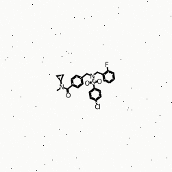 CN(C(=O)c1ccc(CN(Cc2ccccc2F)S(=O)(=O)c2ccc(Cl)cc2)cc1)C1CC1